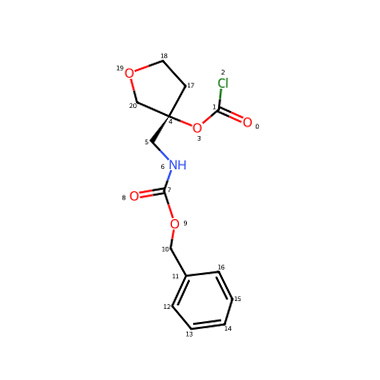 O=C(Cl)O[C@@]1(CNC(=O)OCc2ccccc2)CCOC1